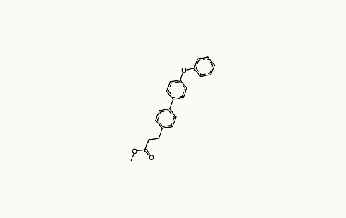 COC(=O)CCc1ccc(-c2ccc(Oc3ccccc3)cc2)cc1